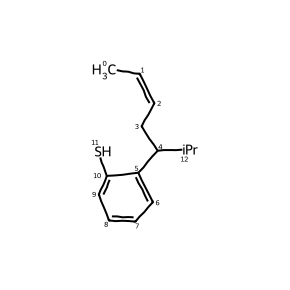 C/C=C\CC(c1ccccc1S)C(C)C